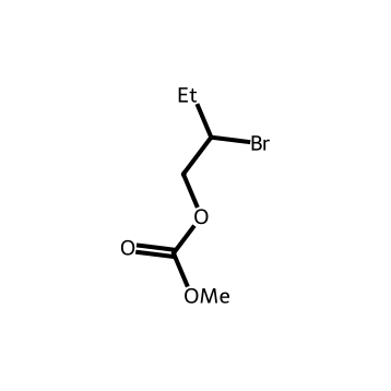 CCC(Br)COC(=O)OC